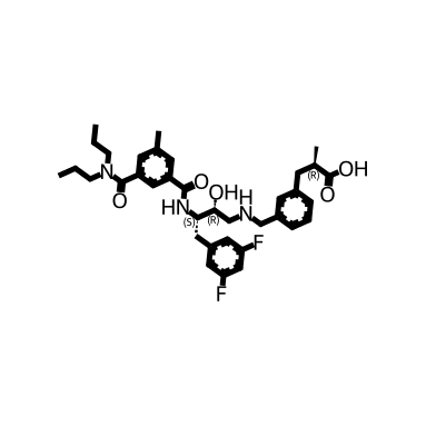 CCCN(CCC)C(=O)c1cc(C)cc(C(=O)N[C@@H](Cc2cc(F)cc(F)c2)[C@H](O)CNCc2cccc(C[C@@H](C)C(=O)O)c2)c1